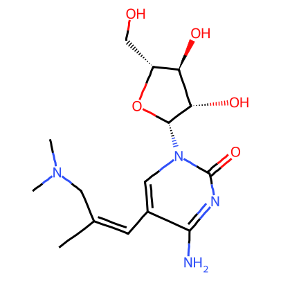 CC(=Cc1cn([C@@H]2O[C@H](CO)[C@@H](O)[C@@H]2O)c(=O)nc1N)CN(C)C